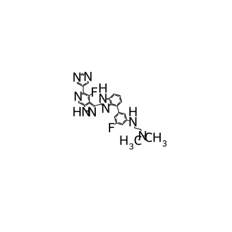 CN(C)CCNc1cc(F)cc(-c2cccc3[nH]c(-c4n[nH]c5cnc(-c6cncnc6)c(F)c45)nc23)c1